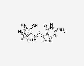 Nc1nc2[nH]cc(CNC3[C@H](O)[C@H](O)[C@H]4C[C@]34O)c2c(=O)[nH]1